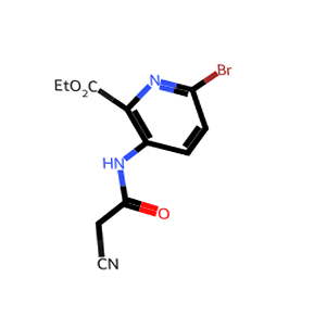 CCOC(=O)c1nc(Br)ccc1NC(=O)CC#N